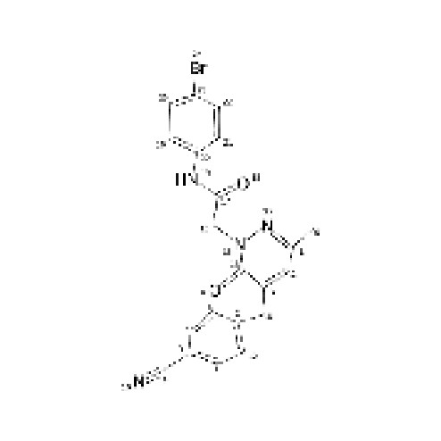 Cc1cc(Cc2ccc(C#N)cc2)c(=O)n(CC(=O)Nc2ccc(Br)cc2)n1